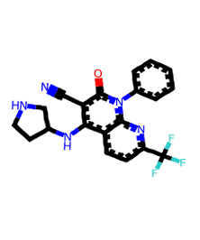 N#Cc1c(NC2CCNC2)c2ccc(C(F)(F)F)nc2n(-c2ccccc2)c1=O